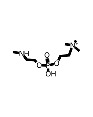 CNCCOP(=O)(O)OCC[N+](C)(C)C